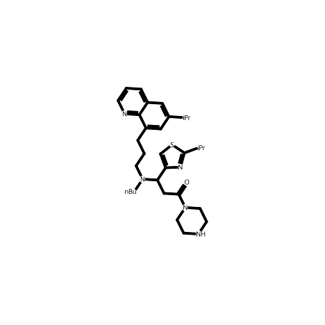 CCCCN(CCCc1cc(C(C)C)cc2cccnc12)C(CC(=O)N1CCNCC1)c1csc(C(C)C)n1